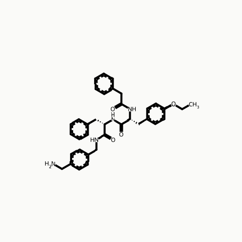 CCOc1ccc(C[C@@H](NC(=O)Cc2ccccc2)C(=O)N[C@@H](Cc2ccccc2)C(=O)NCc2ccc(CN)cc2)cc1